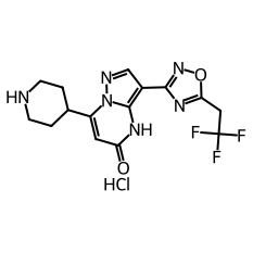 Cl.O=c1cc(C2CCNCC2)n2ncc(-c3noc(CC(F)(F)F)n3)c2[nH]1